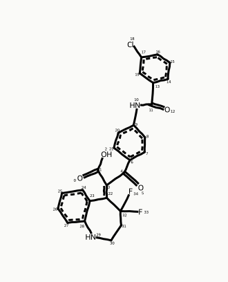 O=C(O)C(C(=O)c1ccc(NC(=O)c2cccc(Cl)c2)cc1)=C1c2ccccc2NCCC1(F)F